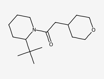 CC(C)(C)C1CCCCN1C(=O)CC1CCOCC1